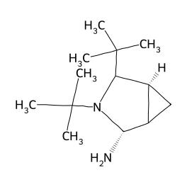 CC(C)(C)C1[C@H]2CC2[C@H](N)N1C(C)(C)C